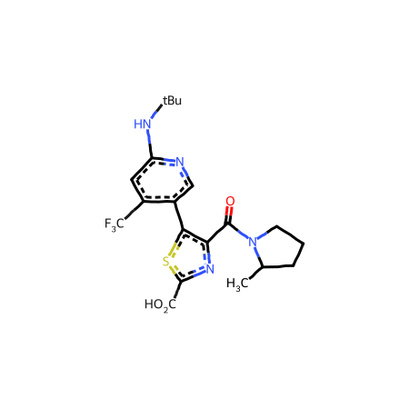 CC1CCCN1C(=O)c1nc(C(=O)O)sc1-c1cnc(NC(C)(C)C)cc1C(F)(F)F